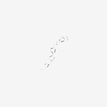 COCCn1cc(Nc2ncc(-c3ccc(CC(=O)Nc4ccc(C(F)(F)F)cn4)cc3)cn2)cn1